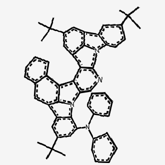 CC(C)(C)c1ccc2c(c1)c1cc(C(C)(C)C)cc3c4c5c6c7ccccc7cc7c8cc(C(C)(C)C)cc(N(c9ccccc9)c9ccccc9)c8n(c5cnc4n2c13)c76